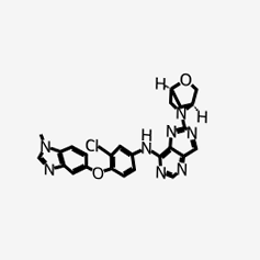 Cn1cnc2cc(Oc3ccc(Nc4ncnc5cnc(N6C[C@@H]7C[C@H]6CO7)nc45)cc3Cl)ccc21